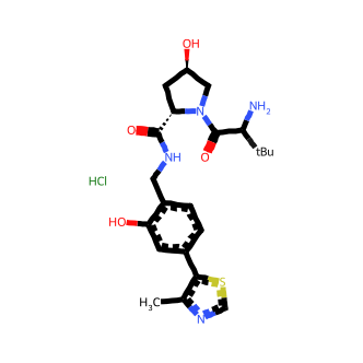 Cc1ncsc1-c1ccc(CNC(=O)[C@@H]2C[C@@H](O)CN2C(=O)C(N)C(C)(C)C)c(O)c1.Cl